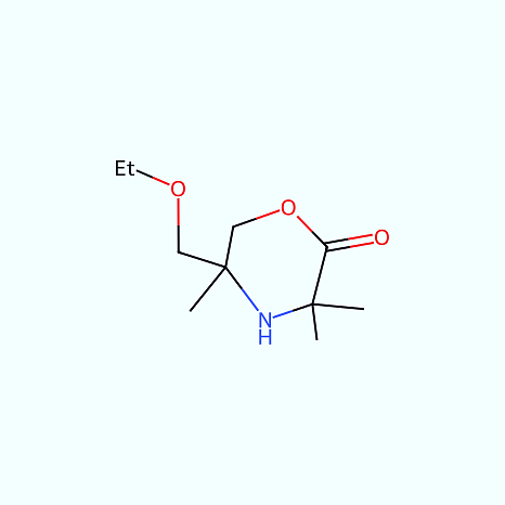 CCOCC1(C)COC(=O)C(C)(C)N1